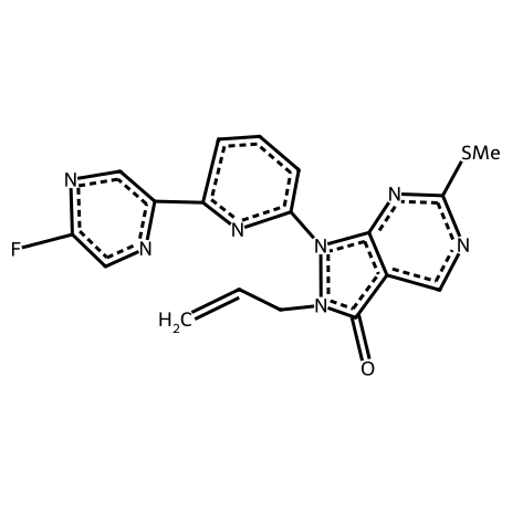 C=CCn1c(=O)c2cnc(SC)nc2n1-c1cccc(-c2cnc(F)cn2)n1